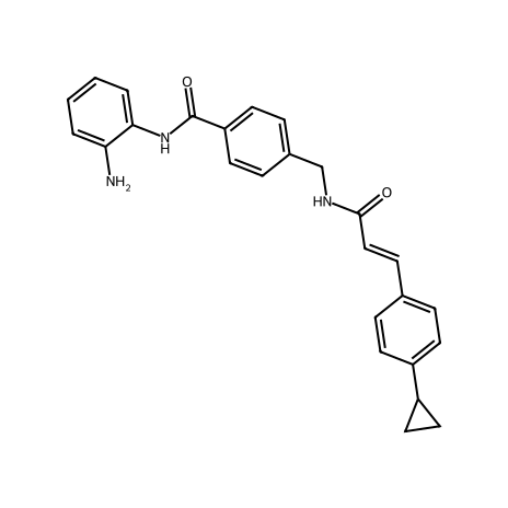 Nc1ccccc1NC(=O)c1ccc(CNC(=O)/C=C/c2ccc(C3CC3)cc2)cc1